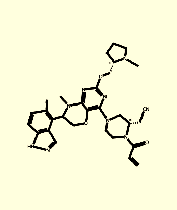 C=CC(=O)N1CCN(c2nc(OC[C@@H]3CCCN3C)nc3c2OCC(c2c(C)ccc4[nH]ncc24)N3C)C[C@@H]1CC#N